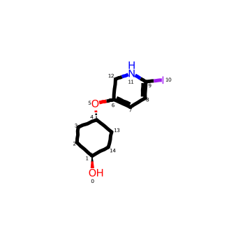 O[C@H]1CC[C@H](OC2=CC=C(I)NC2)CC1